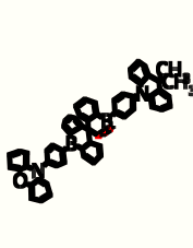 CC1(C)c2ccccc2N(c2ccc(B3c4ccccc4C4(c5ccccc5B(c5ccc(N6c7ccccc7Oc7ccccc76)cc5)C5C=CC=CC54)C4C=CC=CC34)cc2)c2ccccc21